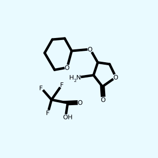 NC1C(=O)OCC1OC1CCCCO1.O=C(O)C(F)(F)F